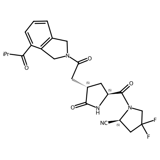 CC(C)C(=O)c1cccc2c1CN(C(=O)C[C@@H]1C[C@@H](C(=O)N3CC(F)(F)C[C@H]3C#N)NC1=O)C2